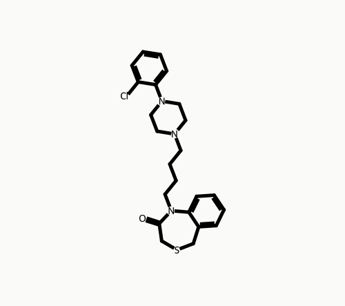 O=C1CSCc2ccccc2N1CCCCN1CCN(c2ccccc2Cl)CC1